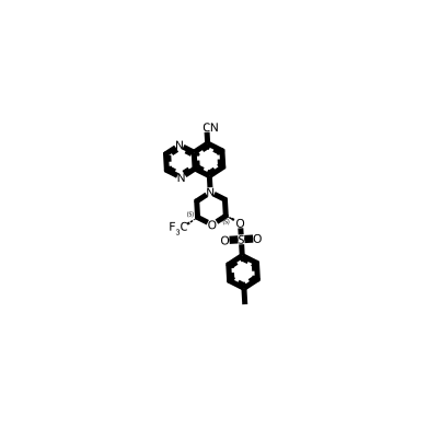 Cc1ccc(S(=O)(=O)O[C@H]2CN(c3ccc(C#N)c4nccnc34)C[C@@H](C(F)(F)F)O2)cc1